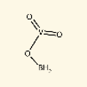 B[O][V](=[O])=[O]